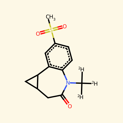 [2H]C([2H])([2H])N1C(=O)CC2CC2c2cc(S(C)(=O)=O)ccc21